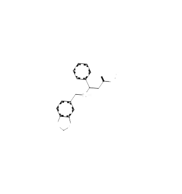 COC(=O)CC(NCc1ccc2c(c1)OCO2)c1ccccc1